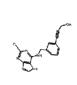 OCC#Cc1cccc(CNc2nc(Cl)nc3c2NC=[N+]3)c1